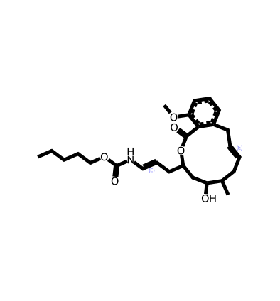 CCCCCOC(=O)N/C=C/CC1CC(O)C(C)C/C=C/Cc2cccc(OC)c2C(=O)O1